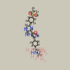 BC(B)(B)NC(B)(B)c1ccc(-c2cc(-c3nc(-c4ccc(S(=O)(=O)C(C)C)cc4)cnc3N)on2)cc1